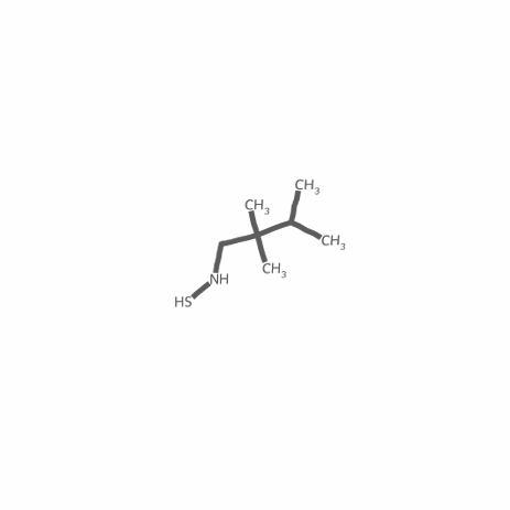 CC(C)C(C)(C)CNS